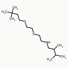 CC(C)C(C)CNCCOCCOCCC(C)(C)C